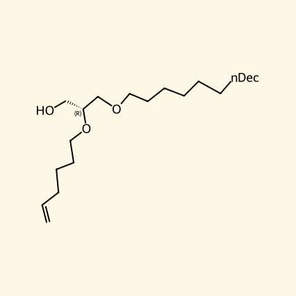 C=CCCCCO[C@H](CO)COCCCCCCCCCCCCCCCC